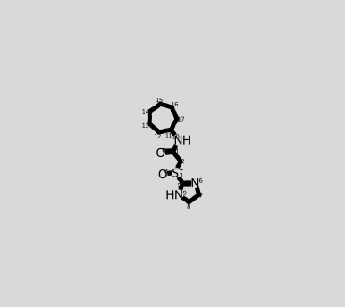 O=C(C[S+]([O-])C1=NCCN1)NC1CCCCCC1